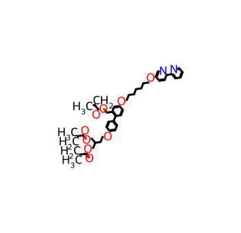 C=C(C)C(=O)OCc1cc(OCCCCCCCOc2ccc(-c3ccccn3)nc2)ccc1-c1ccc(OCCC(COC(=O)C(=C)C)COC(=O)C(=C)C)cc1